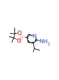 CC(C)c1cc(B2OC(C)(C)C(C)(C)O2)cnc1N